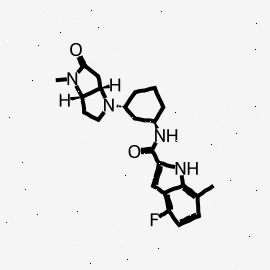 Cc1ccc(F)c2cc(C(=O)N[C@@H]3CCC[C@@H](N4CC[C@H]5[C@@H]4CC(=O)N5C)C3)[nH]c12